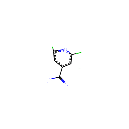 Cl.N=C(N)c1cc(Cl)nc(Cl)c1